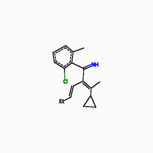 CC/C=C/C(C(=N)c1c(C)cccc1Cl)=C(/C)C1CC1